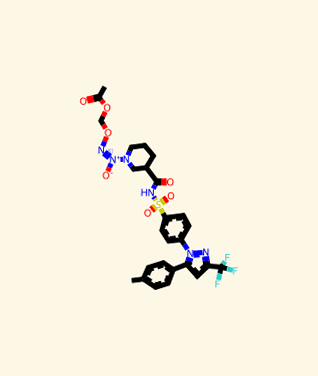 CC(=O)OCO/N=[N+](/[O-])N1CCCC(C(=O)NS(=O)(=O)c2ccc(-n3nc(C(F)(F)F)cc3-c3ccc(C)cc3)cc2)C1